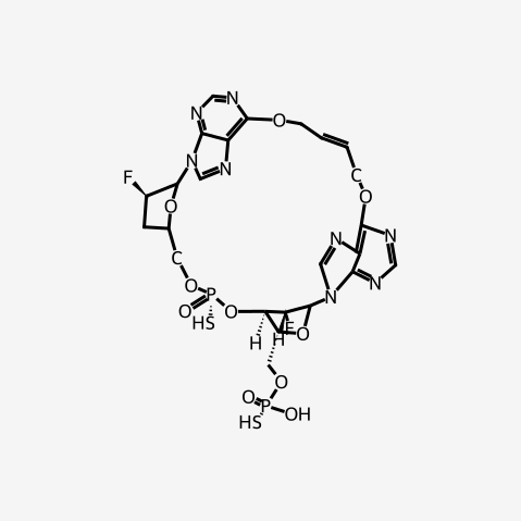 O=P(O)(S)OC[C@H]1OC2[C@H](F)[C@@H]1O[P@](=O)(S)OCC1C[C@@H](F)C(O1)n1cnc3c(ncnc31)OC/C=C/COc1ncnc3c1ncn32